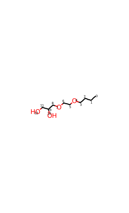 CCCCOCCOCC(O)CO